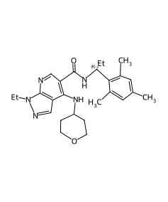 CC[C@@H](NC(=O)c1cnc2c(cnn2CC)c1NC1CCOCC1)c1c(C)cc(C)cc1C